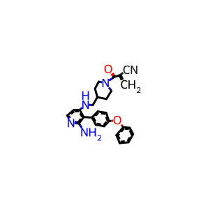 C=C(C#N)C(=O)N1CCC(CNc2ccnc(N)c2-c2ccc(Oc3ccccc3)cc2)CC1